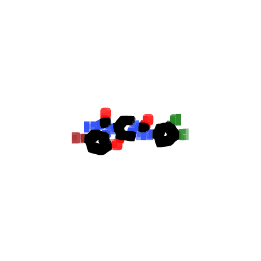 O=C(Nc1ccc(Cl)c(Cl)c1)N1CCC(n2c(=O)[nH]c3c(Br)cccc32)C(O)C1